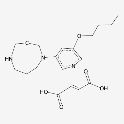 CCCCOc1cncc(N2CCCNCCC2)c1.O=C(O)/C=C/C(=O)O